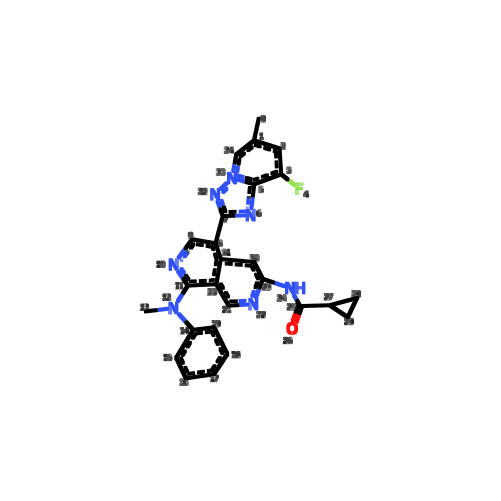 Cc1cc(F)c2nc(-c3cnc(N(C)c4ccccc4)c4cnc(NC(=O)C5CC5)cc34)nn2c1